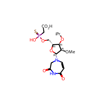 CO[C@@H]1[C@H](OC(C)C)[C@@H](COP(O)(=S)CC(=O)O)O[C@H]1N1C=CC(=O)NC(=O)C1